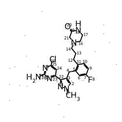 Cn1cc(Cc2cc(F)ccc2CCCN2CCNC(=O)C2)c(-c2cc(Cl)nc(N)n2)n1